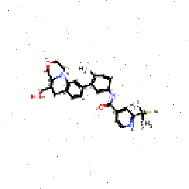 Cc1ccc(NC(=O)c2ccnc(C(C)(C)F)c2)cc1-c1ccc2c(c1)N1CCOCC1C(CO)C2